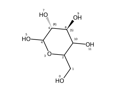 OCC1OC(O)[C@H](O)[C@@H](O)C1O